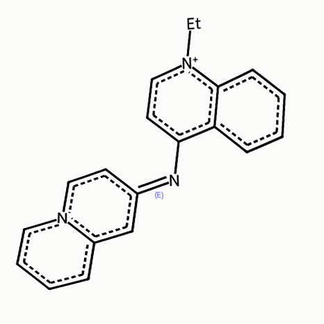 CC[n+]1ccc(/N=c2\ccn3ccccc3c2)c2ccccc21